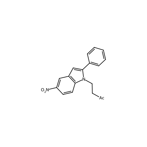 CC(=O)CCn1c(-c2ccccc2)cc2cc([N+](=O)[O-])ccc21